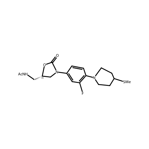 CSC1CCN(c2ccc(N3C[C@H](CNC(C)=O)OC3=O)cc2F)CC1